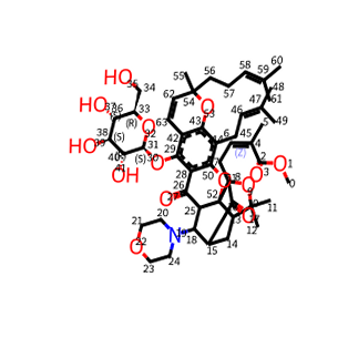 COC(=O)/C(C)=C\CC12OC(C)(C)C3CC(C1=O)C(N1CCOCC1)C1C(=O)c4c(O[C@@H]5O[C@H](CO)[C@@H](O)[C@H](O)[C@H]5O)c5c(c(CC=C(C)C)c4OC132)OC(C)(CCC=C(C)C)C=C5